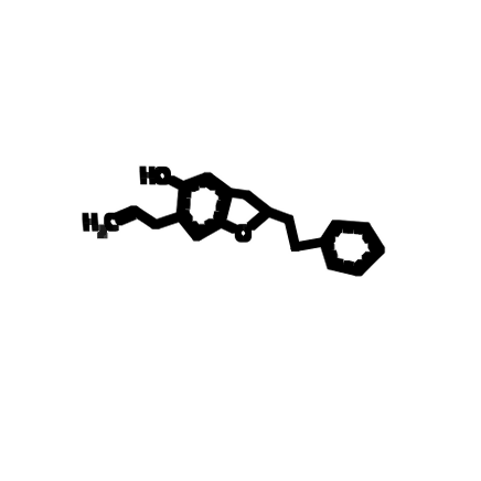 C=CCc1cc2c(cc1O)CC(CCc1ccccc1)O2